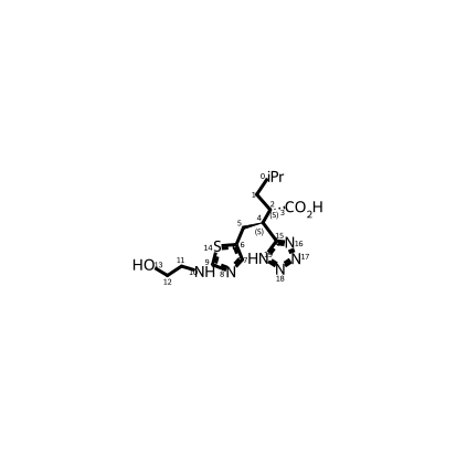 CC(C)C[C@H](C(=O)O)[C@H](Cc1cnc(NCCO)s1)c1nnn[nH]1